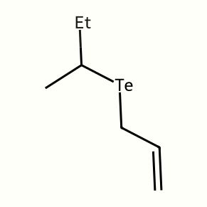 C=CC[Te]C(C)CC